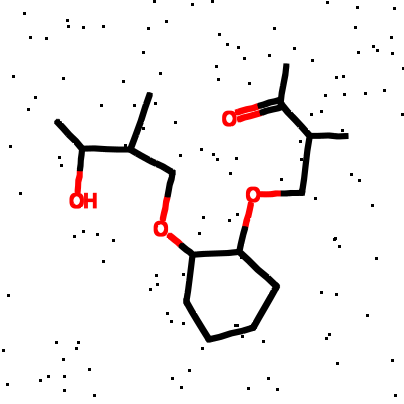 CC(=O)C(C)COC1CCCCC1OCC(C)C(C)O